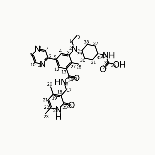 CCN(c1cc(-c2cnccn2)cc(C(=O)NCc2c(C)cc(C)[nH]c2=O)c1C)[C@H]1CC[C@H](NC(=O)O)CC1